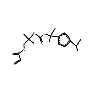 C=CC(=O)OOC(C)(C)OC(=O)OC(C)(C)c1ccc(C(C)C)cc1